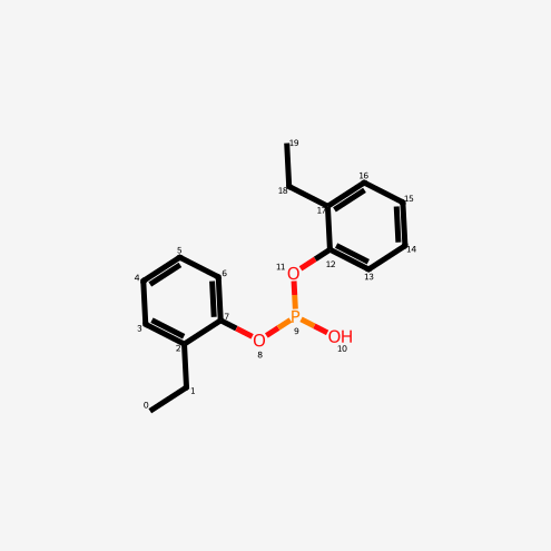 CCc1ccccc1OP(O)Oc1ccccc1CC